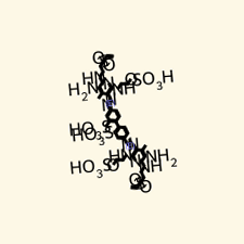 C=CS(=O)(=O)CCNc1nc(NCCOS(=O)(=O)O)c(/N=N/c2ccc(-c3ccc(/N=N/c4c(NCCOS(=O)(=O)O)nc(NCCS(=O)(=O)C=C)c(N)c4C)cc3S(=O)(=O)O)c(S(=O)(=O)O)c2)c(C)c1N